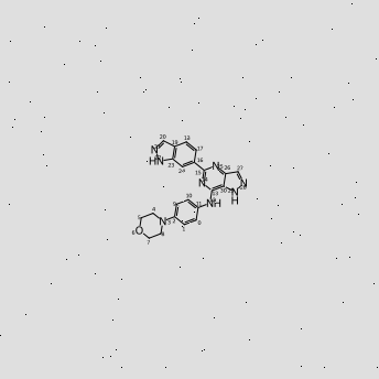 c1cc(N2CCOCC2)ccc1Nc1nc(-c2ccc3cn[nH]c3c2)nc2cn[nH]c12